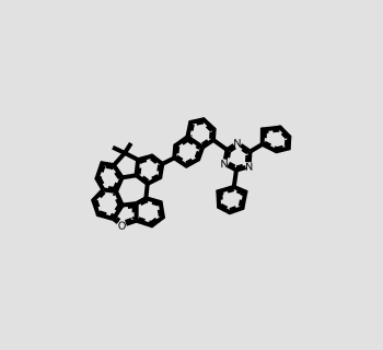 CC1(C)c2cc(-c3ccc4c(-c5nc(-c6ccccc6)nc(-c6ccccc6)n5)cccc4c3)cc3c2-c2c1ccc1ccc4oc5cccc-3c5c4c21